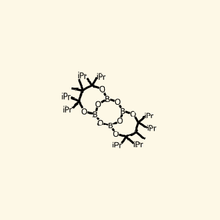 CC(C)C1(C(C)C)OB2OB(OB3OB(O2)OC(C(C)C)(C(C)C)C(C)(C)C(C(C)C)(C(C)C)O3)OC(C(C)C)(C(C)C)C1C